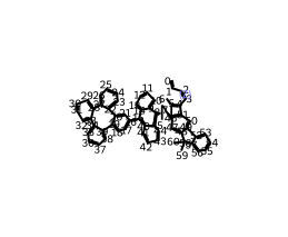 C=C/C=C\c1c(C)n(-c2c3ccccc3c(-c3ccc4c(c3)-c3ccccc3-c3ccccc3-c3ccccc3-4)c3ccccc23)c2cc3c(cc12)-c1ccccc1C3(C)C